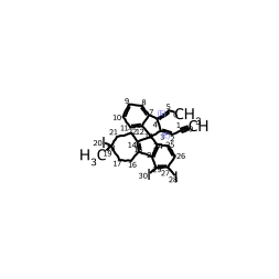 C#C/C=C1\C(=C/C)c2ccccc2C12C1=C(CCC(C)(I)CC1)c1c2ccc(I)c1I